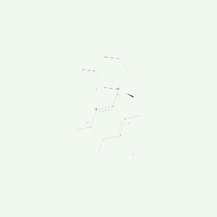 CC(C)(C)C1CCS[C@](C)(c2c(F)c(F)c(F)c(F)c2F)S1